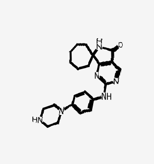 O=C1NC2(CCCCCC2)c2nc(Nc3ccc(N4CCNCC4)cc3)ncc21